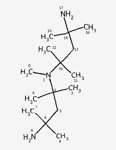 CN(C(C)(C)CC(C)(C)N)C(C)(C)CC(C)(C)N